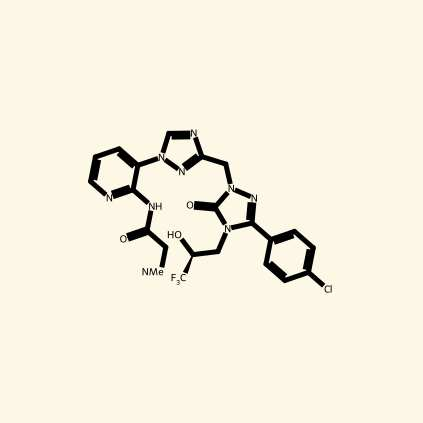 CNCC(=O)Nc1ncccc1-n1cnc(Cn2nc(-c3ccc(Cl)cc3)n(C[C@H](O)C(F)(F)F)c2=O)n1